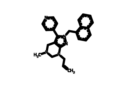 C=CCN1CN(C)Cc2c1nn(Cc1cccc3ccccc13)c2-c1ccncc1